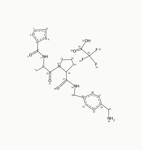 CC(NC(=O)c1cccs1)C(=O)N1CCCC1C(=O)NCc1ccc(CN)cc1.O=C(O)C(F)(F)F